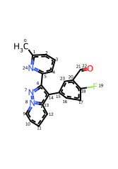 Cc1cccc(-c2nn3ccccc3c2-c2ccc(F)c(C=O)c2)n1